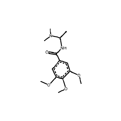 COc1cc(C(=O)NC(C)N(C)C)cc(OC)c1OC